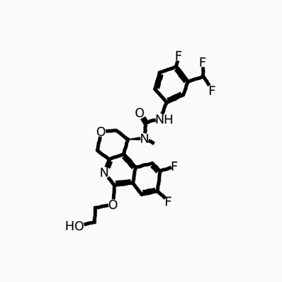 CN(C(=O)Nc1ccc(F)c(C(F)F)c1)[C@@H]1COCc2nc(OCCO)c3cc(F)c(F)cc3c21